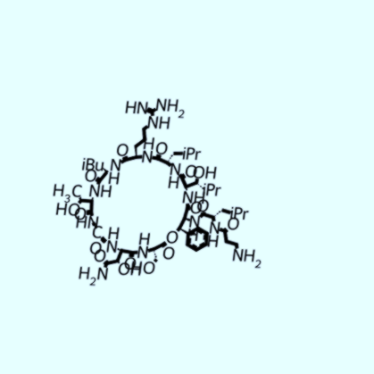 CC[C@H](C)[C@@H]1NC(=O)[C@@H](CCCNC(=N)N)NC(=O)[C@H](CC(C)C)NC(=O)[C@H]([C@H](O)C(C)C)NC(=O)[C@@H](NC(=O)[C@H](CC(C)C)NC(=O)CCN)[C@@H](c2ccccc2)OC(=O)[C@H](CO)NC(=O)[C@H]([C@H](O)C(N)=O)NC(=O)CNC(=O)[C@H]([C@H](C)O)NC1=O